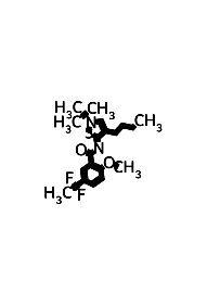 CCCCc1cn(C(C)(C)C)s/c1=N\C(=O)c1cc(C(C)(F)F)ccc1OC